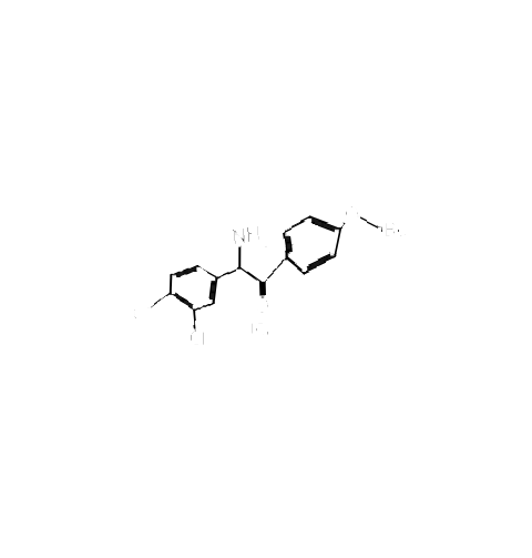 CCC(C)Oc1ccc(C(=O)C(N)c2ccc(Cl)c(Cl)c2)cc1.Cl